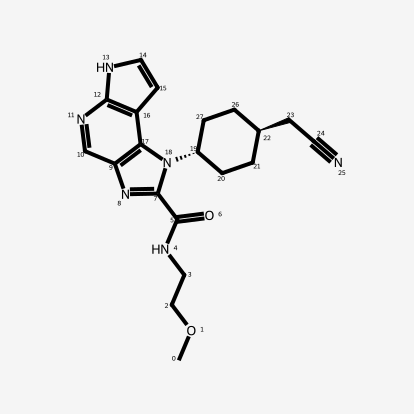 COCCNC(=O)c1nc2cnc3[nH]ccc3c2n1[C@H]1CC[C@H](CC#N)CC1